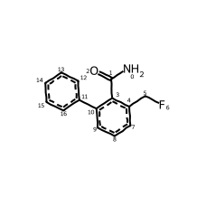 NC(=O)c1c(CF)cccc1-c1ccccc1